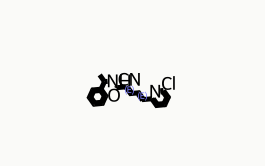 CC(NC(=O)/C(C#N)=C/C=C/c1cccc(Cl)n1)c1ccccc1